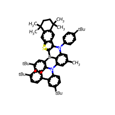 Cc1cc2c3c(c1)N(c1ccc(C(C)(C)C)cc1)c1c(sc4cc5c(cc14)C(C)(C)CCC5(C)C)B3c1cc(C(C)(C)C)ccc1N2c1ccc(C(C)(C)C)cc1-c1ccc(C(C)(C)C)cc1